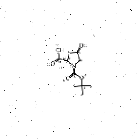 CC(C)(C)OC(=O)N1CC(=O)C[C@]1(C)C(=O)O